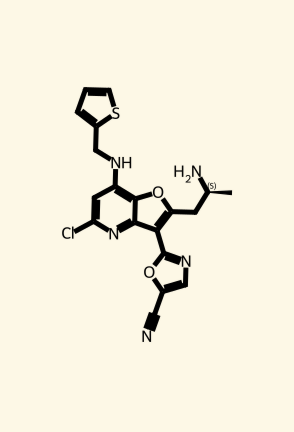 C[C@H](N)Cc1oc2c(NCc3cccs3)cc(Cl)nc2c1-c1ncc(C#N)o1